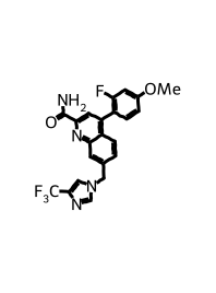 COc1ccc(-c2cc(C(N)=O)nc3cc(Cn4cnc(C(F)(F)F)c4)ccc23)c(F)c1